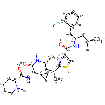 CC(=O)O[C@H](C[C@H](C(C)C)N(C)C(=O)[C@@H](NC(=O)[C@H]1CCCCN1C)C1CC1)c1nc(C(=O)N[C@@H](Cc2ccccc2F)C[C@H](C)C(=O)O)cs1